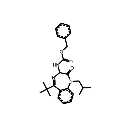 CC(C)CN1C(=O)C(NC(=O)OCc2ccccc2)N=C(C(C)(C)C)c2ccccc21